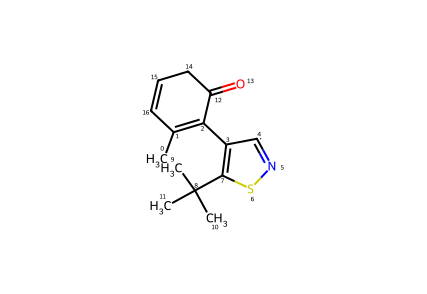 CC1=C(c2[c]nsc2C(C)(C)C)C(=O)CC=C1